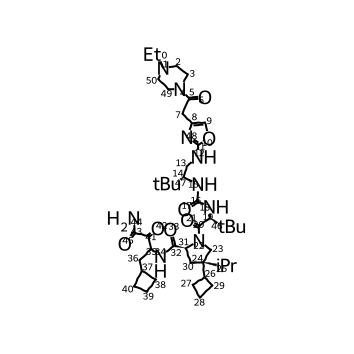 CCN1CCN(C(=O)Cc2coc(NC[C@@H](NC(=O)N[C@H](C(=O)N3C[C@](C(C)C)(C4CCC4)C[C@H]3C(=O)NC(CC3CCC3)C(=O)C(N)=O)C(C)(C)C)C(C)(C)C)n2)CC1